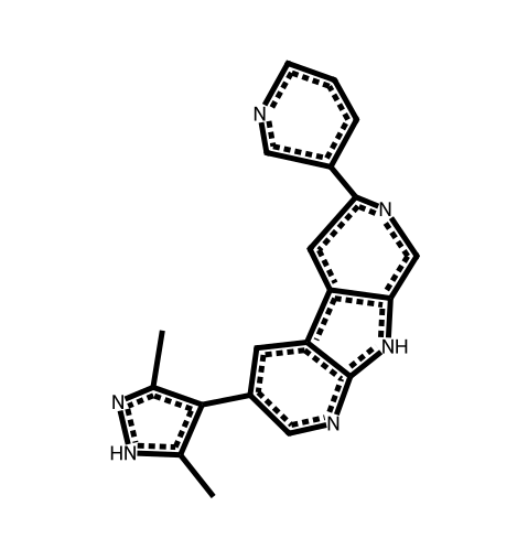 Cc1n[nH]c(C)c1-c1cnc2[nH]c3cnc(-c4cccnc4)cc3c2c1